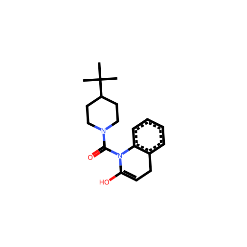 CC(C)(C)C1CCN(C(=O)N2C(O)=CCc3ccccc32)CC1